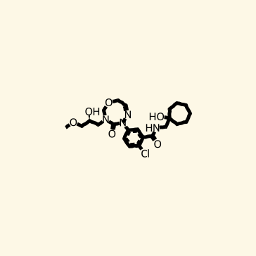 COC[C@H](O)CN1COC/C=N\N(c2ccc(Cl)c(C(=O)NCC3(O)CCCCCC3)c2)C1=O